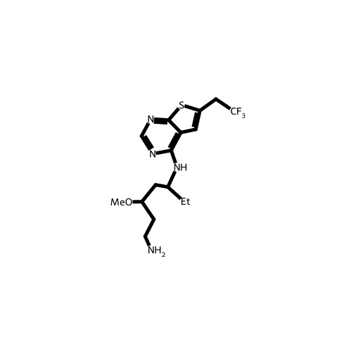 CCC(CC(CCN)OC)Nc1ncnc2sc(CC(F)(F)F)cc12